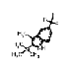 Cc1c([Si](C)(C)C)[nH]c2ccc(C(F)(F)F)cc12